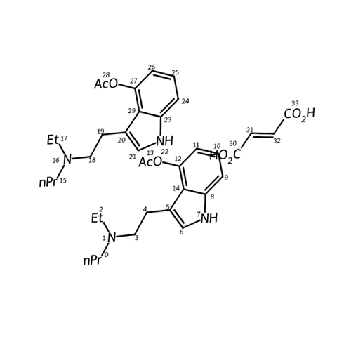 CCCN(CC)CCc1c[nH]c2cccc(OC(C)=O)c12.CCCN(CC)CCc1c[nH]c2cccc(OC(C)=O)c12.O=C(O)/C=C/C(=O)O